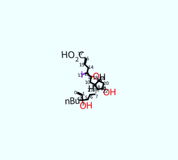 C=CC(O)(CCCC)CCC[C@@H]1[C@H]2CC(C(I)CC=CC(=O)O)O[C@H]2C[C@H]1O